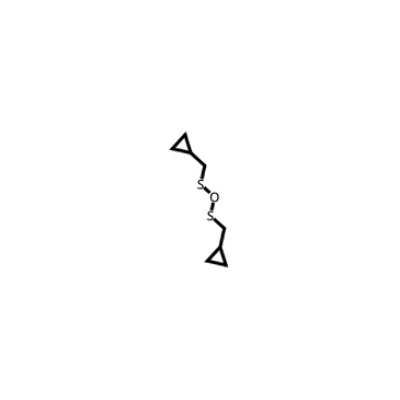 C1CC1CSOSCC1CC1